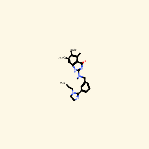 COCCN1CCN=C1c1cccc(CN(C)c2nc(=O)c3c(C)c(OC)c(OC)cc3[nH]2)c1